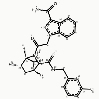 NC(=O)c1nn(CC(=O)N2C(C(=O)NCc3cccc(Cl)n3)[C@@H]3C[C@H](O)[C@H]2[C@H]3O)c2ccccc12